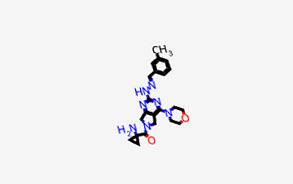 Cc1cccc(/C=N/Nc2nc3c(c(N4CCOCC4)n2)CN(C(=O)C2(N)CC2)C3)c1